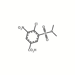 CN(C)S(=O)(=O)c1cc(C(=O)O)cc([N+](=O)[O-])c1Cl